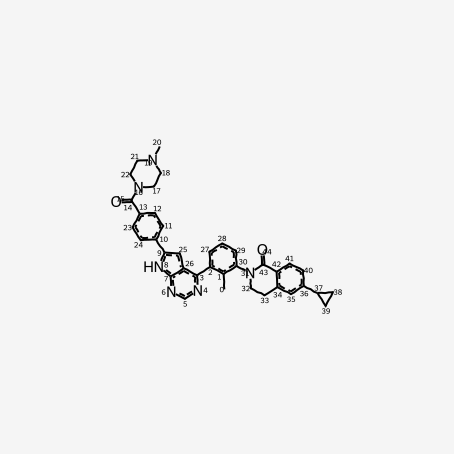 Cc1c(-c2ncnc3[nH]c(-c4ccc(C(=O)N5CCN(C)CC5)cc4)cc23)cccc1N1CCc2cc(C3CC3)ccc2C1=O